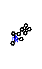 c1ccc(-c2nc(-c3ccccc3)nc(-c3ccccc3-c3cccc(-c4ccc5c(c4)C4(c6ccccc6-c6ccccc64)c4ccccc4-5)c3)n2)cc1